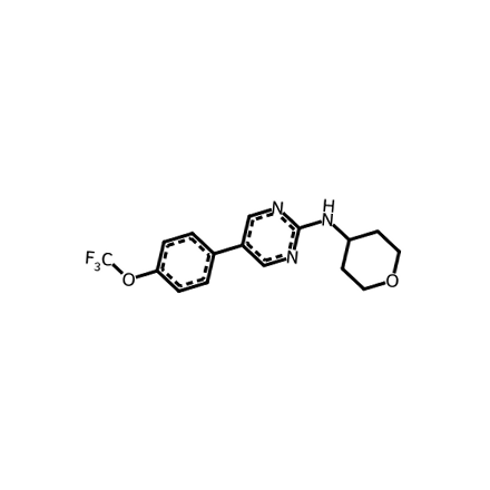 FC(F)(F)Oc1ccc(-c2cnc(NC3CCOCC3)nc2)cc1